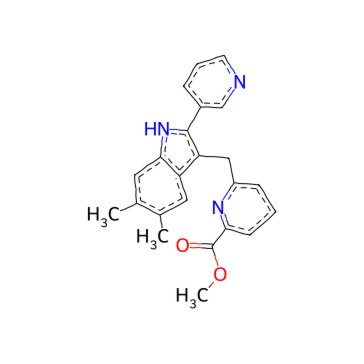 COC(=O)c1cccc(Cc2c(-c3cccnc3)[nH]c3cc(C)c(C)cc23)n1